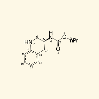 CCCOC(=O)N[C@@H]1CNc2ccccc2C1